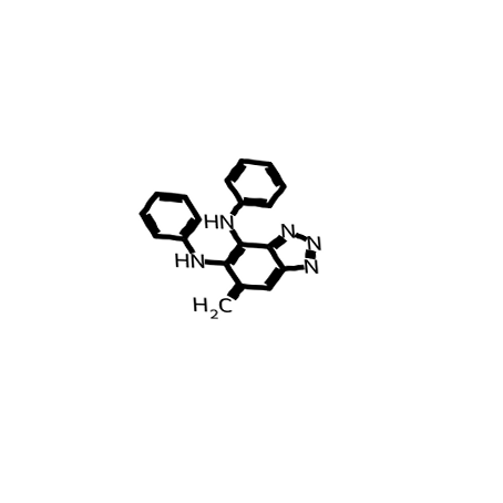 C=c1cc2c(c(Nc3ccccc3)c1Nc1ccccc1)=NN=N2